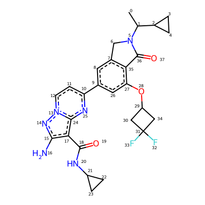 CC(C1CC1)N1Cc2cc(-c3ccn4nc(N)c(C(=O)NC5CC5)c4n3)cc(OC3CC(F)(F)C3)c2C1=O